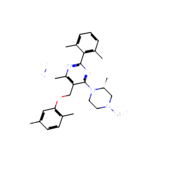 CC(=O)NN1CCN(c2nc(-c3c(C)cccc3C)nc(C)c2COc2cc(C(C)C)ccc2C)[C@@H](C)C1.CC(N)=O